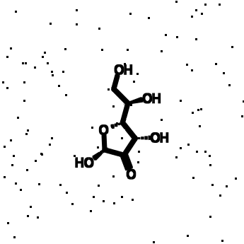 O=C1[C@@H](O)[C@@H]([C@H](O)CO)O[C@@H]1O